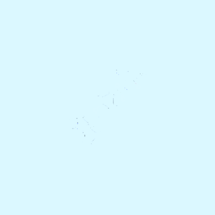 COC(=O)C1(NS(=O)(=O)c2ccc(OCc3cc(C)nc4ccccc34)cc2)CNC1